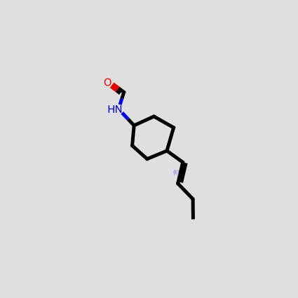 CC/C=C/C1CCC(NC=O)CC1